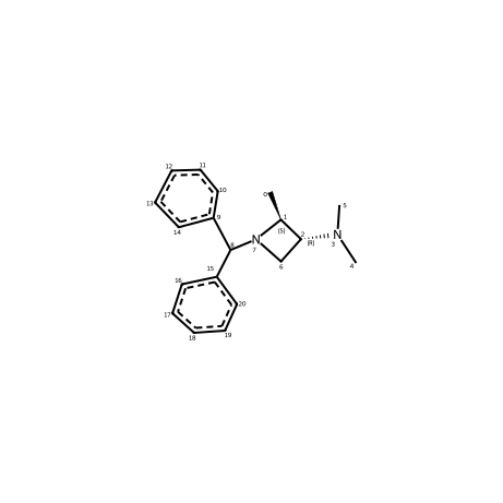 C[C@H]1[C@H](N(C)C)CN1C(c1ccccc1)c1ccccc1